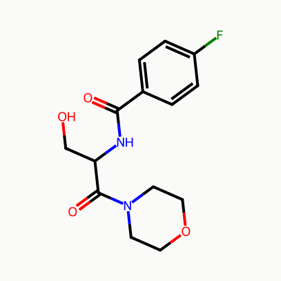 O=C(NC(CO)C(=O)N1CCOCC1)c1ccc(F)cc1